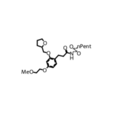 CCCCCS(=O)(=O)NC(=O)CCc1ccc(OCCOC)cc1OCC1CCCO1